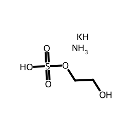 N.O=S(=O)(O)OCCO.[KH]